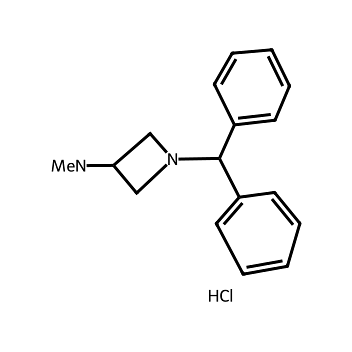 CNC1CN(C(c2ccccc2)c2ccccc2)C1.Cl